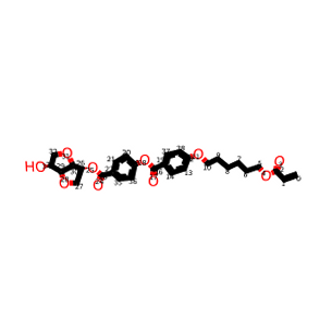 C=CC(=O)OCCCCCCOc1ccc(C(=O)Oc2ccc(C(=O)O[C@@H]3COC4C3OC[C@@H]4O)cc2)cc1